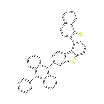 c1ccc(-c2c3ccccc3c(-c3ccc4c(c3)sc3ccc5sc6c7ccccc7ccc6c5c34)c3ccccc23)cc1